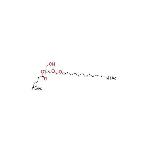 CCCCCCCCCCCCCC(=O)O[C@H](CO)COCOCCCCCCCCCCCCNC(C)=O